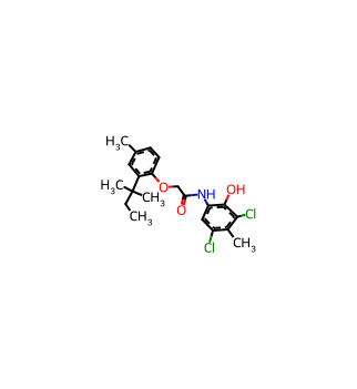 CCC(C)(C)c1cc(C)ccc1OCC(=O)Nc1cc(Cl)c(C)c(Cl)c1O